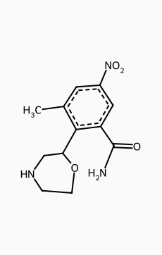 Cc1cc([N+](=O)[O-])cc(C(N)=O)c1C1CNCCO1